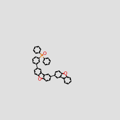 O=P(c1ccccc1)(c1ccccc1)c1cccc(-c2ccc3oc4ccc(-c5ccc6oc7ccccc7c6c5)cc4c3c2)c1